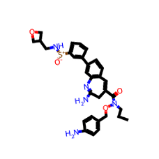 CCCN(OCc1ccc(N)cc1)C(=O)C1=Cc2ccc(-c3cccc([S+]([O-])NCC4COC4)c3)cc2N=C(N)C1